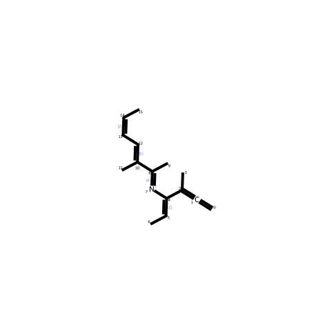 C=C=C(C)C(=C/C)/N=C(C)/C(C)=C/C=C\C